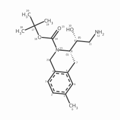 Cc1ccc2c(c1)C[C@@H]([C@H](O)CN)N(C(=O)OC(C)(C)C)C2